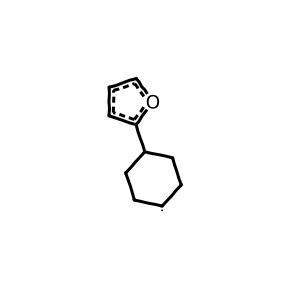 [CH]1CCC(c2ccco2)CC1